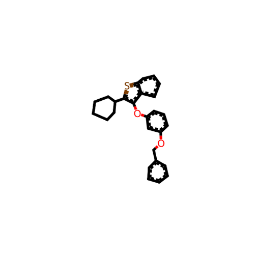 c1ccc(COc2cccc(Oc3c(C4CCCCC4)sc4ccccc34)c2)cc1